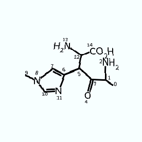 CC(N)C(=O)C(c1cn(C)cn1)C(N)C(=O)O